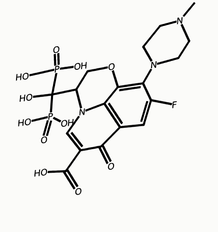 CN1CCN(c2c(F)cc3c(=O)c(C(=O)O)cn4c3c2OCC4C(O)(P(=O)(O)O)P(=O)(O)O)CC1